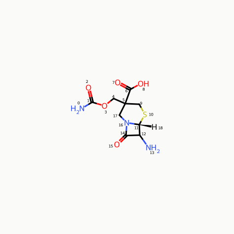 NC(=O)OCC1(C(=O)O)CS[C@@H]2C(N)C(=O)N2C1